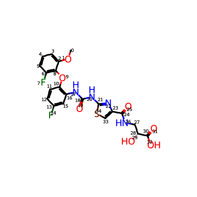 COc1cccc(F)c1Oc1ccc(F)cc1NC(=O)Nc1nc(C(=O)NC[C@@H](O)C(=O)O)cs1